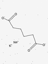 O=C([O-])CCCCC(=O)[O-].[K+].[Na+]